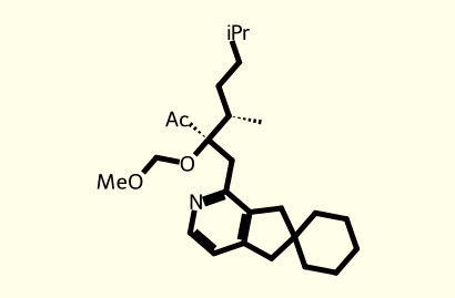 COCO[C@@](Cc1nccc2c1CC1(CCCCC1)C2)(C(C)=O)[C@@H](C)CCC(C)C